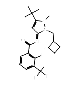 Cn1c(C(C)(C)C)c/c(=N\C(=O)c2cccc(C(F)(F)F)c2F)n1CC1CCC1